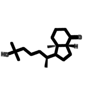 C[C@@H](CCCC(C)(C)O)C1CC[C@H]2C(=O)CCC[C@]12C